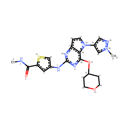 CCNC(=O)c1cc(Nc2nc(OC3CCOCC3)c3c(ccn3-c3cnn(C)c3)n2)cs1